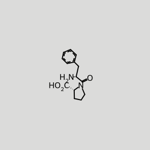 N[C@H](Cc1ccccc1)C(=O)N1CCC[C@@H]1C(=O)O